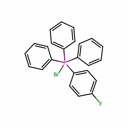 Fc1ccc(P(Br)(c2ccccc2)(c2ccccc2)c2ccccc2)cc1